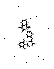 Cn1c(=O)n(-c2ccc(/C=C(\NC(=O)c3c(Cl)cccc3Cl)C(=O)O)cc2)c(=O)c2ccccc21